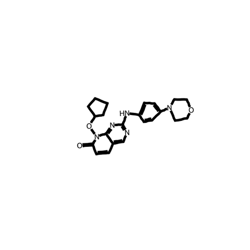 O=c1ccc2cnc(Nc3ccc(N4CCOCC4)cc3)nc2n1OC1CCCC1